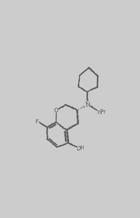 CCCN(C1CCCCC1)[C@H]1COc2c(F)ccc(O)c2C1